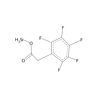 O=C(Cc1c(F)c(F)c(F)c(F)c1F)O[SiH3]